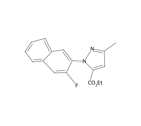 CCOC(=O)c1cc(C)nn1-c1cc2ccccc2cc1F